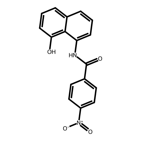 O=C(Nc1cccc2cccc(O)c12)c1ccc([N+](=O)[O-])cc1